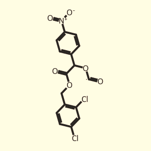 O=[C]OC(C(=O)OCc1ccc(Cl)cc1Cl)c1ccc([N+](=O)[O-])cc1